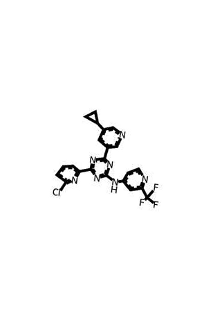 FC(F)(F)c1cc(Nc2nc(-c3cncc(C4CC4)c3)nc(-c3cccc(Cl)n3)n2)ccn1